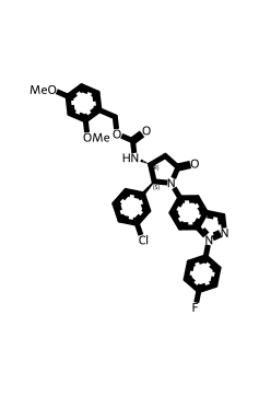 COc1ccc(COC(=O)N[C@@H]2CC(=O)N(c3ccc4c(cnn4-c4ccc(F)cc4)c3)[C@H]2c2cccc(Cl)c2)c(OC)c1